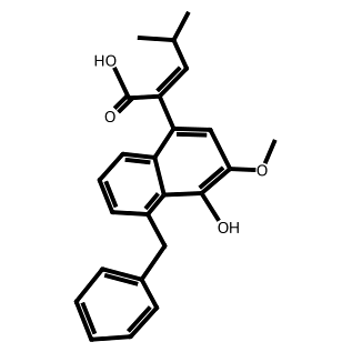 COc1cc(/C(=C/C(C)C)C(=O)O)c2cccc(Cc3ccccc3)c2c1O